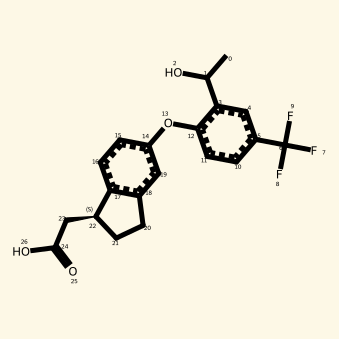 CC(O)c1cc(C(F)(F)F)ccc1Oc1ccc2c(c1)CC[C@H]2CC(=O)O